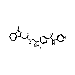 NC(CNC(=O)Cc1c[nH]c2ccccc12)c1ccc(C(=O)Nc2ccncc2)cc1